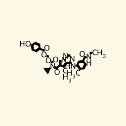 CCNC(=O)c1ccc(C)c(Nc2ncnn3cc(C(=O)N(C(=O)OCOC(=O)c4ccc(O)cc4)C4CC4)c(C)c23)c1